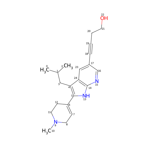 CC(C)Cc1c(C2=CCN(C)CC2)[nH]c2ncc(C#CCCO)cc12